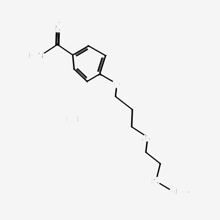 CCCCCCNCCNCCCOc1ccc(C(=N)N)cc1.Cl